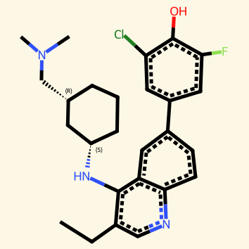 CCc1cnc2ccc(-c3cc(F)c(O)c(Cl)c3)cc2c1N[C@H]1CCC[C@@H](CN(C)C)C1